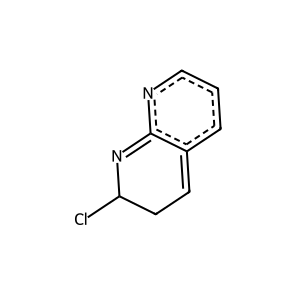 ClC1CC=c2cccnc2=N1